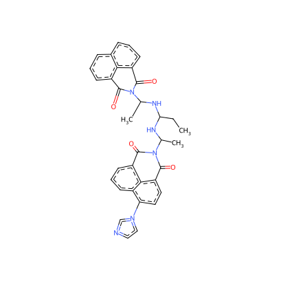 CCC(NC(C)N1C(=O)c2cccc3cccc(c23)C1=O)NC(C)N1C(=O)c2cccc3c(-n4ccnc4)ccc(c23)C1=O